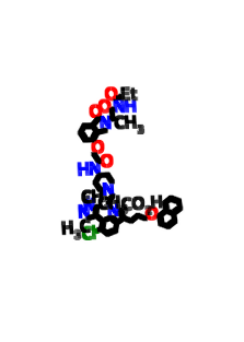 CCC(=O)NC(=O)C(C)N1Cc2c(OCC(=O)NC3CCN(CCn4c(C(=O)O)c(CCCOc5cccc6ccccc56)c5ccc(Cl)c(-c6c(C)nn(C)c6C)c54)CC3)cccc2C1=O